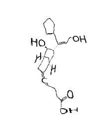 O=C(O)CCC=C=C1C[C@H]2[C@@H](O)[C@H](/C(=C/CO)C3CCCC3)C[C@@H]12